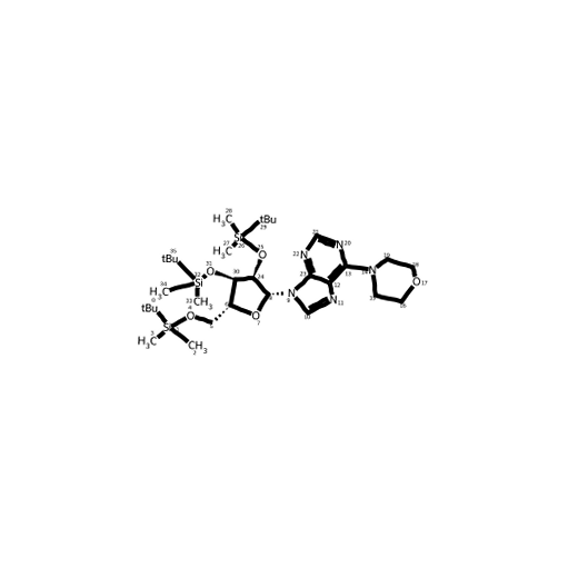 CC(C)(C)[Si](C)(C)OC[C@H]1O[C@@H](n2cnc3c(N4CCOCC4)ncnc32)[C@H](O[Si](C)(C)C(C)(C)C)[C@@H]1O[Si](C)(C)C(C)(C)C